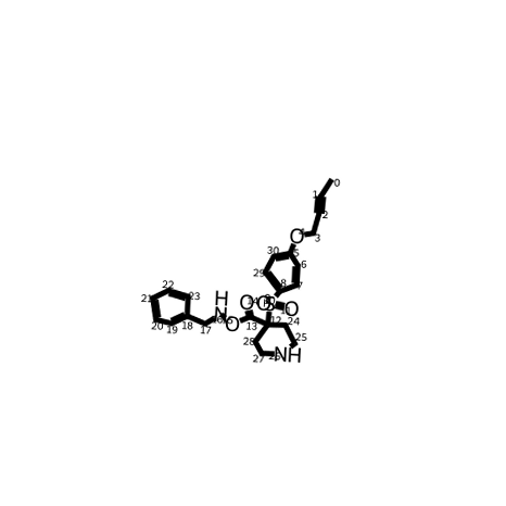 CC#CCOc1ccc(S(=O)(=O)C2(C(=O)ONCc3ccccc3)CCNCC2)cc1